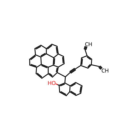 C#Cc1cc(C#C)cc(C#CC(c2c(O)ccc3ccccc23)c2cc3ccc4ccc5ccc6ccc7ccc2c2c7c6c5c4c32)c1